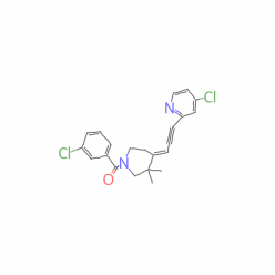 CC1(C)CN(C(=O)c2cccc(Cl)c2)CC/C1=C\C#Cc1cc(Cl)ccn1